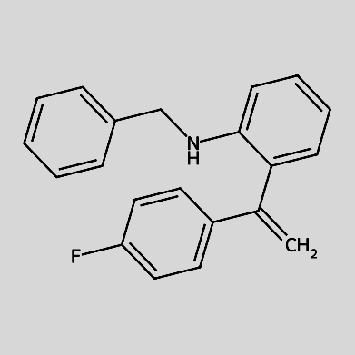 C=C(c1ccc(F)cc1)c1ccccc1NCc1ccccc1